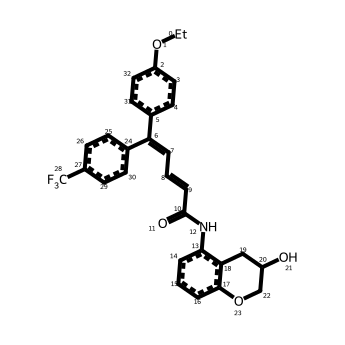 CCOc1ccc(C(=CC=CC(=O)Nc2cccc3c2CC(O)CO3)c2ccc(C(F)(F)F)cc2)cc1